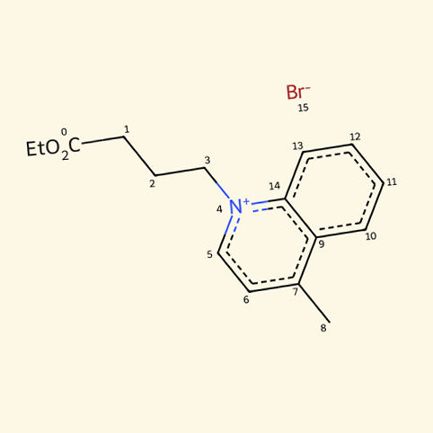 CCOC(=O)CCC[n+]1ccc(C)c2ccccc21.[Br-]